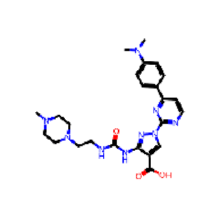 CN1CCN(CCNC(=O)Nc2nn(-c3nccc(-c4ccc(N(C)C)cc4)n3)cc2C(=O)O)CC1